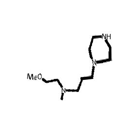 COCCN(C)CCCN1CCNCC1